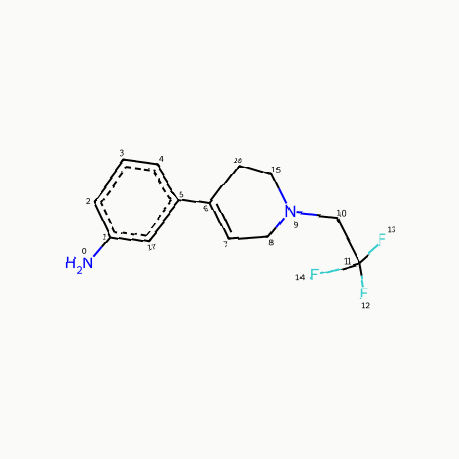 Nc1cccc(C2=CCN(CC(F)(F)F)CC2)c1